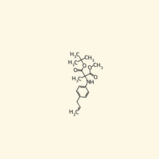 C=CCc1ccc(NC(C)(C(=O)OC)C(=O)OC(C)(C)C)cc1